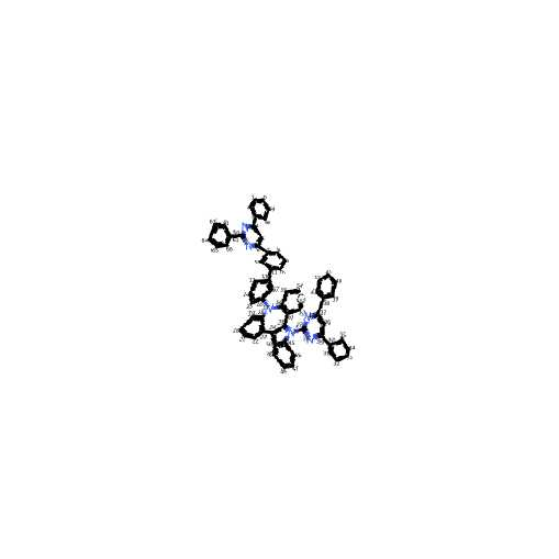 c1ccc(-c2cc(-c3cccc(-c4cccc(N5c6ccccc6-c6c(n(-c7nc(-c8ccccc8)cc(-c8ccccc8)n7)c7ccccc67)-c6ccccc65)c4)c3)nc(-c3ccccc3)n2)cc1